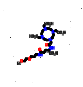 CCOCCOCCCNC(=O)CC[C@H](NC(=O)CN1CCN(CC(=O)O)CCN(CC(=O)O)CCN(CC(=O)O)CC1)C(=O)O